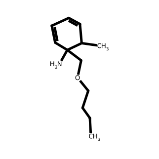 CCCCOCC1(N)C=CC=CC1C